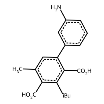 CCC(C)c1c(C(=O)O)c(C)cc(-c2cccc(N)c2)c1C(=O)O